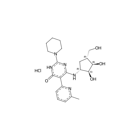 Cc1cccc(-c2c(N[C@@H]3C[C@H](CO)[C@@H](O)[C@H]3O)nc(N3CCCCC3)[nH]c2=O)n1.Cl